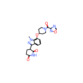 Cn1nc(C2CCC(=O)NC2=O)c2cccc(OC3CCN(C(=O)c4ncon4)CC3)c21